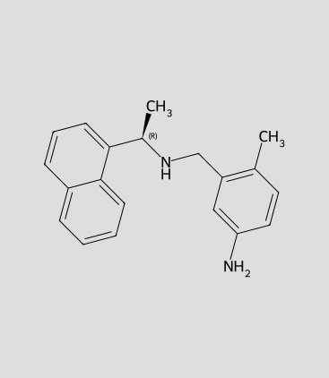 Cc1ccc(N)cc1CN[C@H](C)c1cccc2ccccc12